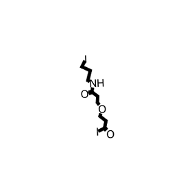 O=C(I)CCOCCC(=O)NCCCI